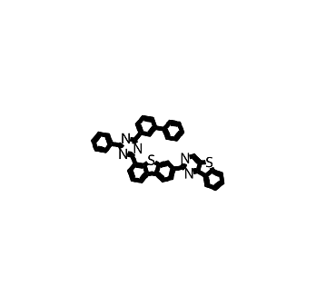 c1ccc(-c2cccc(-c3nc(-c4ccccc4)nc(-c4cccc5c4sc4cc(-c6ncc7sc8ccccc8c7n6)ccc45)n3)c2)cc1